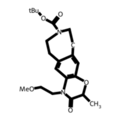 COCCN1C(=O)C(C)Oc2cc3c(cc21)CCN(C(=O)OC(C)(C)C)CC3